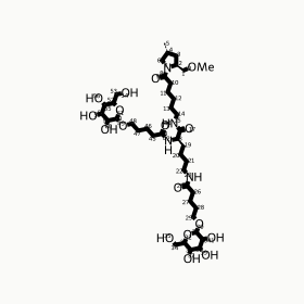 COC[C@@H]1C[C@@H](C)CN1C(=O)CCCCCNC(=O)[C@@H](CCCCNC(=O)CCCCOC1OC(CO)C(O)C(O)C1O)NC(=O)CCCCOC1OC(CO)C(O)C(O)C1O